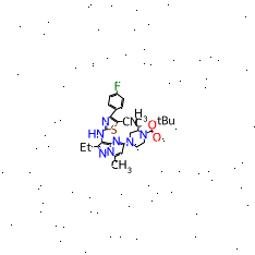 CCc1nn2c(C)cc(N3CCN(C(=O)OC(C)(C)C)C(C)C3)nc2c1Nc1nc(-c2ccc(F)cc2)c(C#N)s1